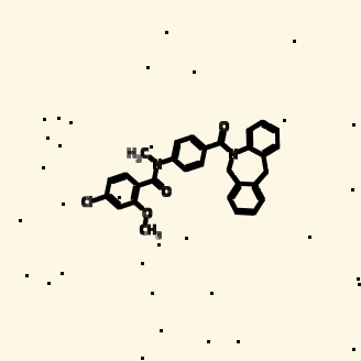 COc1cc(Cl)ccc1C(=O)N(C)c1ccc(C(=O)N2Cc3ccccc3Cc3ccccc32)cc1